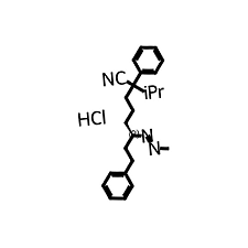 CN=N[C@H](CCCC(C#N)(c1ccccc1)C(C)C)CCc1ccccc1.Cl